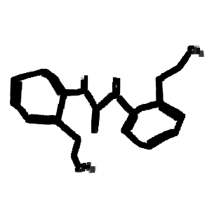 CCCc1ccccc1NC(=O)Nc1ccccc1CCC